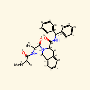 CNC(C)C(=O)NC(C(=O)N1Cc2ccccc2CC1C(=O)NC(c1ccccc1)c1ccccc1)C(C)C